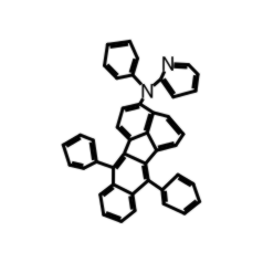 c1ccc(-c2c3c(c(-c4ccccc4)c4ccccc24)-c2ccc(N(c4ccccc4)c4ccccn4)c4cccc-3c24)cc1